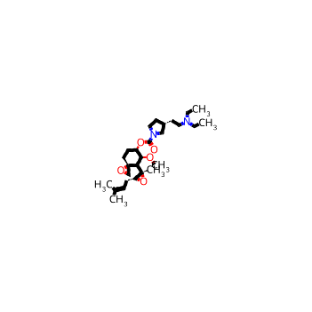 CCN(CC)CC[C@H]1CCN(C(=O)O[C@@H]2CC[C@]3(CO3)C([C@@]3(C)O[C@@H]3CC=C(C)C)[C@@H]2OC)C1